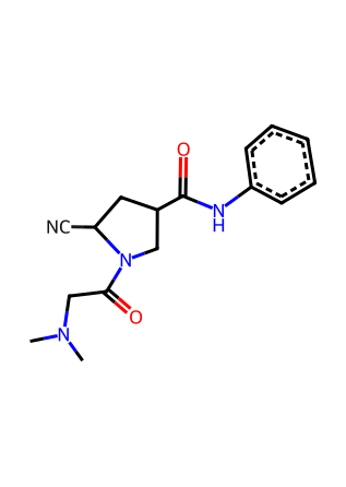 CN(C)CC(=O)N1CC(C(=O)Nc2ccccc2)CC1C#N